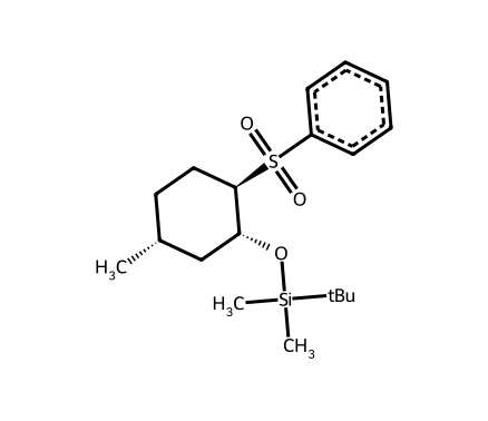 C[C@@H]1CC[C@@H](S(=O)(=O)c2ccccc2)[C@H](O[Si](C)(C)C(C)(C)C)C1